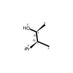 CC(C)[C@H](C)[C@H](C)O